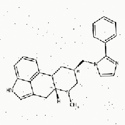 CN1C[C@H](Cn2ccnc2-c2ccccc2)CC2c3cccc4[nH]cc(c34)C[C@H]21